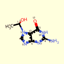 CC(O)n1cnc2nc(N)[nH]c(=O)c21